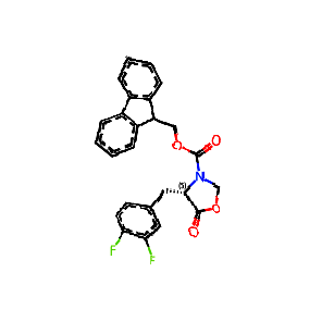 O=C1OCN(C(=O)OCC2c3ccccc3-c3ccccc32)[C@H]1Cc1ccc(F)c(F)c1